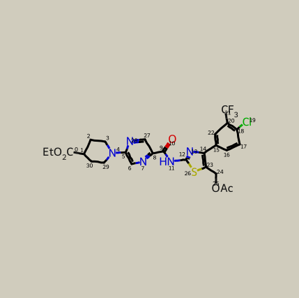 CCOC(=O)C1CCN(c2cnc(C(=O)Nc3nc(-c4ccc(Cl)c(C(F)(F)F)c4)c(COC(C)=O)s3)cn2)CC1